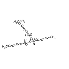 CCCCOCCOCCOCC(=O)NC(COCCC(=O)NCCOCCOCCOCCOCC)COCCC(=O)NCCOCCOCCOCCOC(C)C